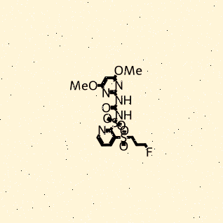 COc1cc(OC)nc(NC(=O)NS(=O)(=O)c2ncccc2S(=O)(=O)CCCF)n1